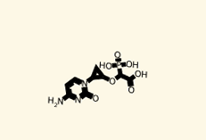 Nc1ccn(C2CC2OC(C(=O)O)P(=O)(O)O)c(=O)n1